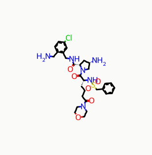 NCc1ccc(Cl)cc1CNC(=O)[C@@H]1C[C@H](N)CN1C(=O)[C@@H](CCCC(=O)N1CCOCC1)NS(=O)(=O)Cc1ccccc1